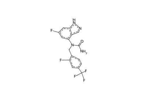 NC(=O)N(Cc1ccc(C(F)(F)F)cc1F)c1cc(F)cc2[nH]ncc12